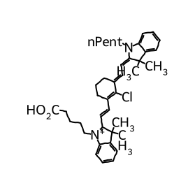 CCCCCN1/C(=C/C=C2\CCCC(/C=C/C3=[N+](CCCCC(=O)O)c4ccccc4C3(C)C)=C2Cl)C(C)(C)c2ccccc21